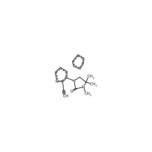 C#Cc1ncccc1N1CC(C)(C)N(C)C1=O.c1ccccc1